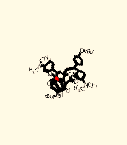 CN(C)c1ccc(C(=CC2(C=C(c3ccc(OC(C)(C)C)cc3)c3ccc(N(C)C)cc3)OC(=O)c3c(Cl)c(Cl)c(Cl)c(Cl)c32)c2ccc(OC(C)(C)C)cc2)cc1